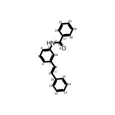 O=C(Nc1cccc(/C=C/c2ccccc2)c1)c1ccccc1